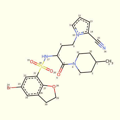 CC1CCN(C(=O)C(CCn2cccc2C#N)NS(=O)(=O)c2cc(Br)cc3c2OCC3)CC1